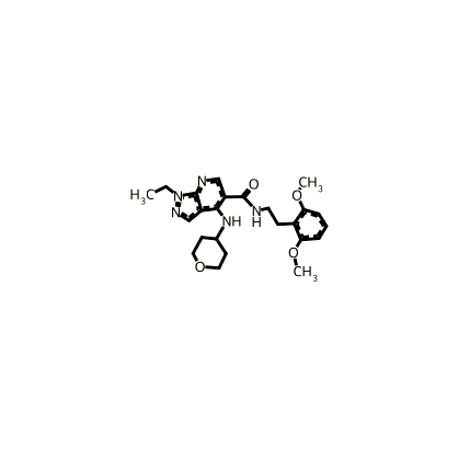 CCn1ncc2c(NC3CCOCC3)c(C(=O)NCCc3c(OC)cccc3OC)cnc21